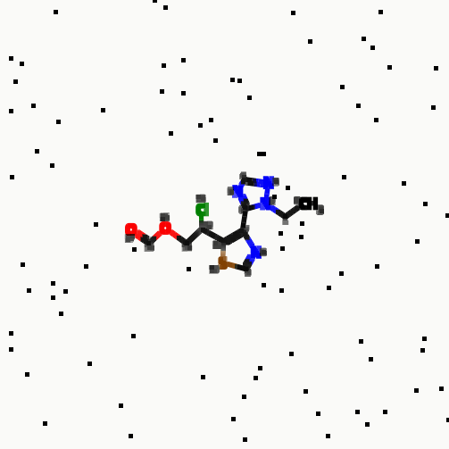 CCn1ncnc1-c1ncsc1C(Cl)COC=O